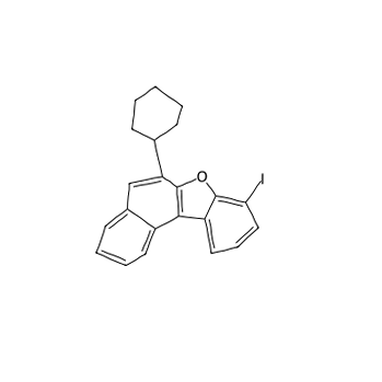 Ic1cccc2c1oc1c(C3CCCCC3)cc3ccccc3c12